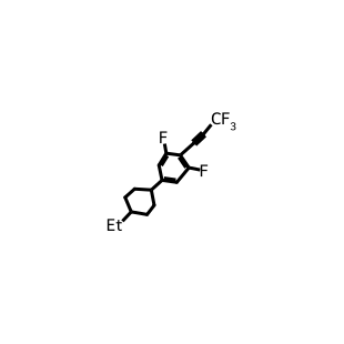 CCC1CCC(c2cc(F)c(C#CC(F)(F)F)c(F)c2)CC1